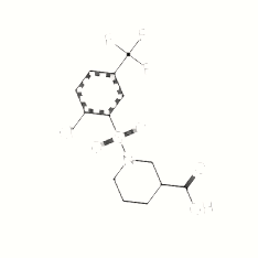 O=C(O)C1CCCN(S(=O)(=O)c2cc(C(F)(F)F)ccc2Cl)C1